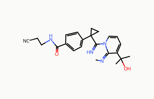 C/N=c1/c(C(C)(C)O)cccn1C(=N)C1(c2ccc(C(=O)NCCC#N)cc2)CC1